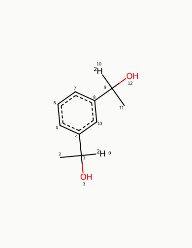 [2H]C(C)(O)c1cccc(C([2H])(C)O)c1